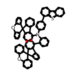 c1ccc2c(c1)Oc1ccccc1C21c2ccccc2-c2c(-c3ccccc3N(c3ccc(-c4cccc5c4sc4ccccc45)cc3)c3cccc4c3-c3ccccc3C43c4ccccc4Oc4ccccc43)cccc21